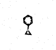 c1ccc(N2CC2)cc1